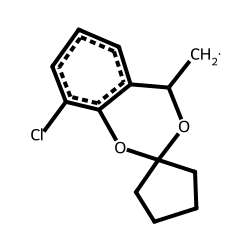 [CH2]C1OC2(CCCC2)Oc2c(Cl)cccc21